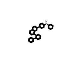 c1ccc(Nc2ccc(-c3ccc4cccc(-c5ccccc5-c5ccccc5)c4c3)cc2)cc1